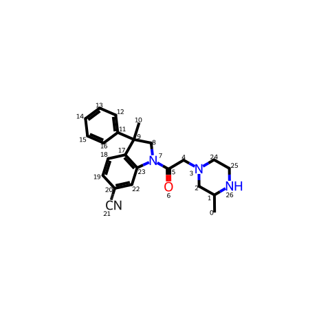 CC1CN(CC(=O)N2CC(C)(c3ccccc3)c3ccc(C#N)cc32)CCN1